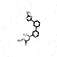 CN(CC(=O)OC(C)(C)C)c1cc(-c2cccc(-c3csc(N)n3)c2)ccn1